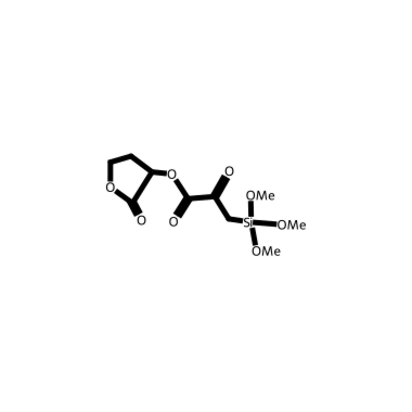 CO[Si](CC(=O)C(=O)OC1CCOC1=O)(OC)OC